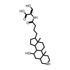 CC12CCC3C(C(O)CC4CNCCC43C)C1CCC2CCCC(=O)N/C(=C/O)C(=O)O